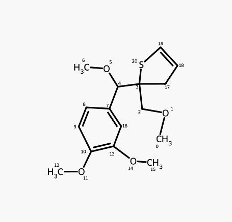 COCC1(C(OC)c2ccc(OC)c(OC)c2)CC=CS1